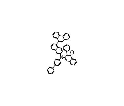 c1ccc(-c2ccc(N(c3ccc4c(-c5cc6ccccc6c6ccccc56)cccc4c3)c3cc4ccccc4c4oc5ccccc5c34)cc2)cc1